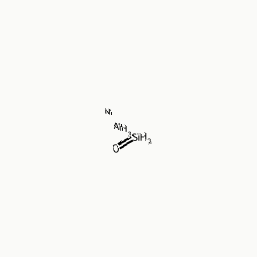 O=[SiH2].[AlH3].[Ni]